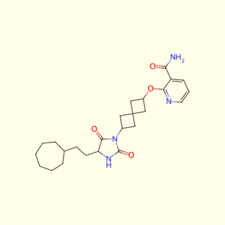 NC(=O)c1cccnc1OC1CC2(C1)CC(N1C(=O)NC(CCC3CCCCCC3)C1=O)C2